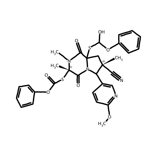 COc1ccc(C2N3C(=O)[C@](C)(SC(=O)Oc4ccccc4)N(C)C(=O)C3(SC(O)Oc3ccccc3)C[C@]2(C)C#N)cn1